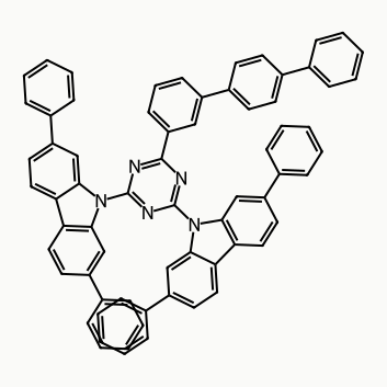 c1ccc(-c2ccc(-c3cccc(-c4nc(-n5c6cc(-c7ccccc7)ccc6c6ccc(-c7ccccc7)cc65)nc(-n5c6cc(-c7ccccc7)ccc6c6ccc(-c7ccccc7)cc65)n4)c3)cc2)cc1